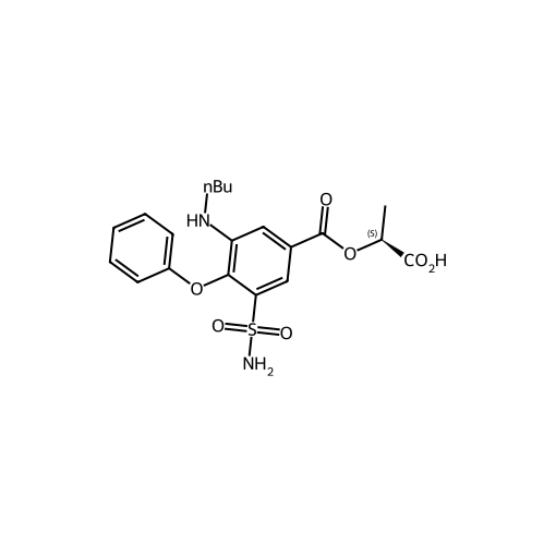 CCCCNc1cc(C(=O)O[C@@H](C)C(=O)O)cc(S(N)(=O)=O)c1Oc1ccccc1